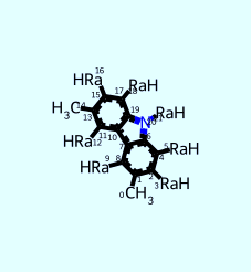 Cc1[c]([RaH])[c]([RaH])c2c([c]1[RaH])c1[c]([RaH])c(C)[c]([RaH])[c]([RaH])c1[n]2[RaH]